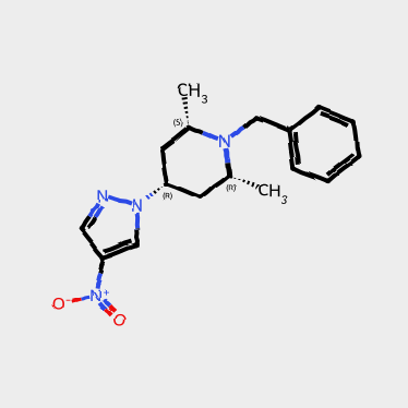 C[C@@H]1C[C@H](n2cc([N+](=O)[O-])cn2)C[C@H](C)N1Cc1ccccc1